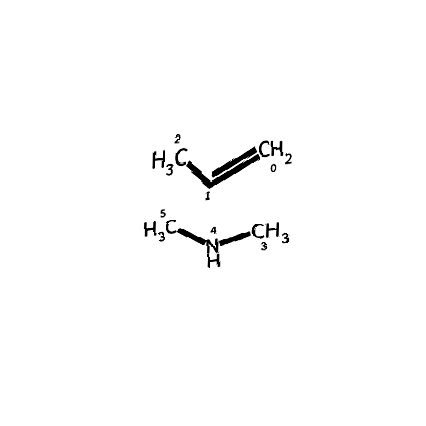 C=CC.CNC